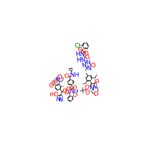 CCc1cc(C)cc(CC)c1-c1c(OC(=O)C(C)(C)C)n2n(c1=O)CCOCC2.COc1ccccc1C(=O)NS(=O)(=O)c1ccc(C(=O)NC2CC2)cc1.COc1nc(C)nc(NC(=O)NS(=O)(=O)c2ccccc2Cl)n1.Cc1c(C(=O)c2cnn(C)c2O)ccc(S(C)(=O)=O)c1C1=NOCC1